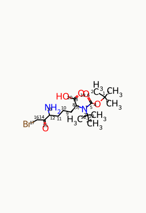 CC(C)(C)OC(=O)N([C@@H](CCCC(N)C(=O)CBr)C(=O)O)C(C)(C)C